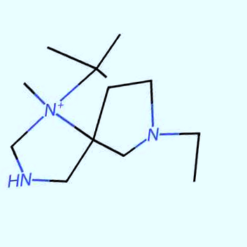 CCN1CCC2(CNC[N+]2(C)C(C)(C)C)C1